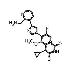 COc1c(-c2csc(-c3cccnc3CN)c2)c(F)cn2c(=O)[nH]c(=O)c(C3CC3)c12